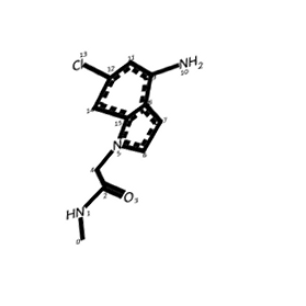 CNC(=O)Cn1ccc2c(N)cc(Cl)cc21